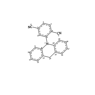 N#Cc1ccc(C#N)c(N2c3ccccc3Cc3ccccc32)c1